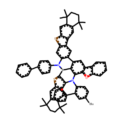 CC(C)(C)c1ccc(N2c3c(sc4cc5c(cc34)C(C)(C)CCC5(C)C)B3c4c(cc5c(oc6ccccc65)c42)-c2cc4c(cc2N3c2ccc(-c3ccccc3)cc2)sc2cc3c(cc24)C(C)(C)CCC3(C)C)c(-c2ccccc2)c1